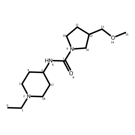 CCN1CCC(NC(=O)N2CCC(COC)C2)CC1